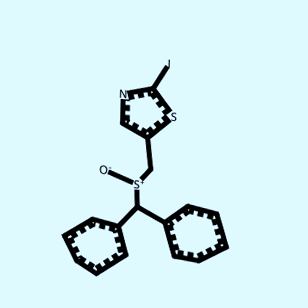 [O-][S+](Cc1cnc(I)s1)C(c1ccccc1)c1ccccc1